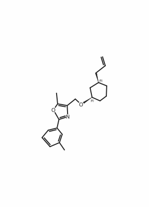 C=CC[C@H]1CCC[C@@H](OCc2nc(-c3cccc(C)c3)oc2C)C1